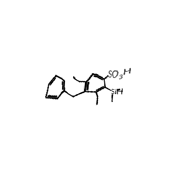 Cc1cc(S(=O)(=O)O)c([SiH](C)C)c(C)c1Cc1ccccc1